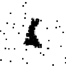 C[C@H]1CN(S(=O)(=O)c2cc3cc(Cl)ccc3n2S(=O)(=O)c2ccccc2)CC(=O)N1Cc1ccc(-c2ccc(=O)n(C)n2)cc1